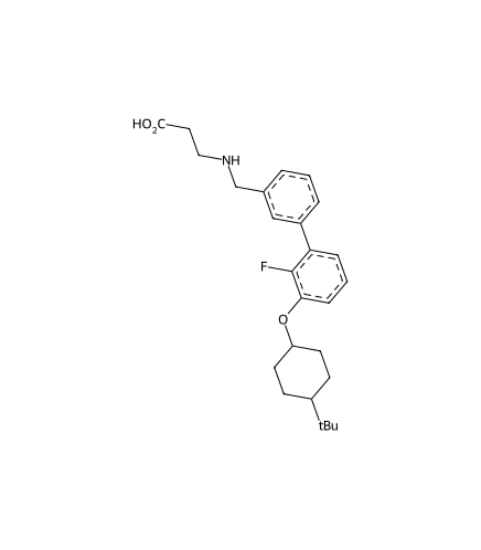 CC(C)(C)C1CCC(Oc2cccc(-c3cccc(CNCCC(=O)O)c3)c2F)CC1